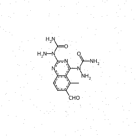 Cc1c(C=O)ccc2nc(N(N)C(N)=O)nc(N(N)C(N)=O)c12